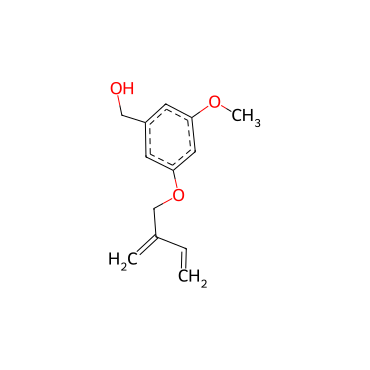 C=CC(=C)COc1cc(CO)cc(OC)c1